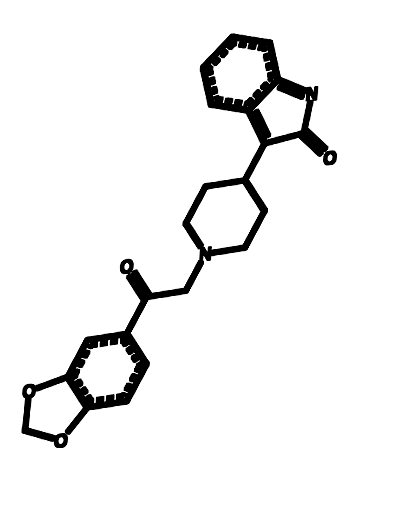 O=C1N=c2ccccc2=C1C1CCN(CC(=O)c2ccc3c(c2)OCO3)CC1